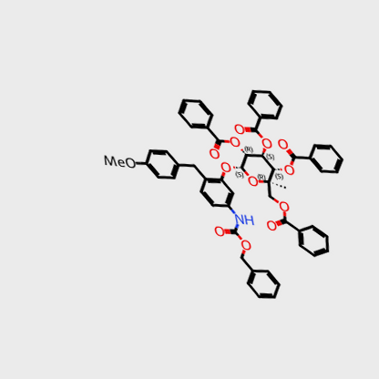 COc1ccc(Cc2ccc(NC(=O)OCc3ccccc3)cc2O[C@H]2O[C@](C)(COC(=O)c3ccccc3)[C@@H](OC(=O)c3ccccc3)[C@H](OC(=O)c3ccccc3)[C@H]2OC(=O)c2ccccc2)cc1